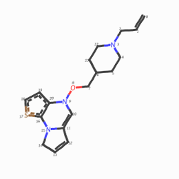 C=CCN1CCC(CON2C=C3C=CCN3c3sccc32)CC1